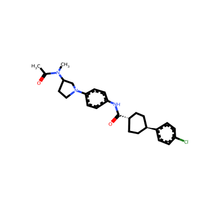 CC(=O)N(C)C1CCN(c2ccc(NC(=O)[C@H]3CC[C@H](c4ccc(Cl)cc4)CC3)cc2)C1